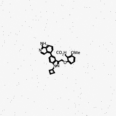 COc1cccc(OCc2nn(C3CCC3)c3ccc(-c4cccc5c(N)nccc45)cc23)c1CC(=O)O